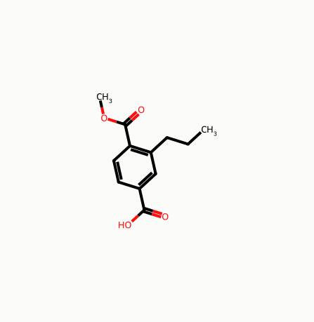 CCCc1cc(C(=O)O)ccc1C(=O)OC